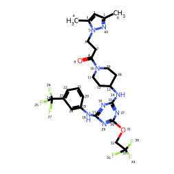 Cc1cc(C)n(CCC(=O)N2CCC(Nc3nc(Nc4cccc(C(F)(F)F)c4)nc(OCC(F)(F)F)n3)CC2)n1